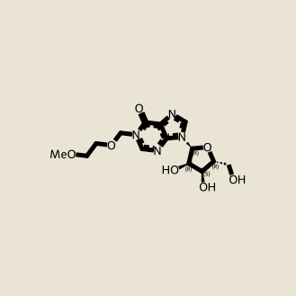 COCCOCn1cnc2c(ncn2[C@@H]2O[C@H](CO)[C@@H](O)[C@H]2O)c1=O